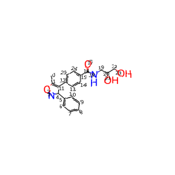 Cc1onc(-c2ccccc2)c1-c1ccc(C(=O)NCC(O)CO)cc1